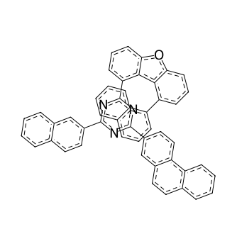 c1ccc2cc(-c3nc(-c4ccc5c(ccc6ccccc65)c4)nc(-c4cccc5oc6cccc(-c7cccc8ccccc78)c6c45)n3)ccc2c1